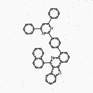 c1ccc(-c2cc(-c3ccccc3)nc(-c3ccc(-c4cccc5c4nc(-c4cccc6ccccc46)c4c6ccccc6sc54)cc3)n2)cc1